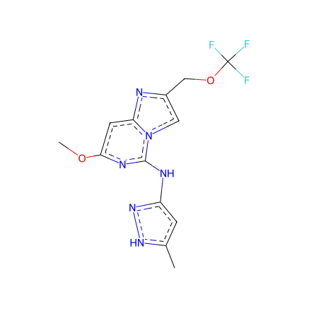 COc1cc2nc(COC(F)(F)F)cn2c(Nc2cc(C)[nH]n2)n1